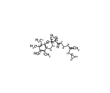 Cc1c(C)c2c(c(C)c1O)CC[C@@](C)(C(=O)NCCCN(C)CC1CC1)O2